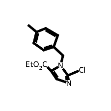 CCOC(=O)c1cnc(Cl)n1Cc1ccc(C)cc1